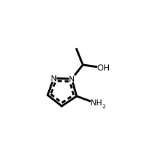 CC(O)n1nccc1N